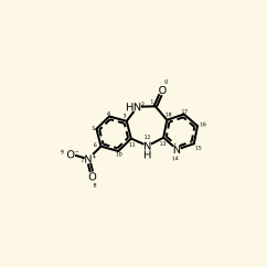 O=C1Nc2ccc([N+](=O)[O-])cc2Nc2ncccc21